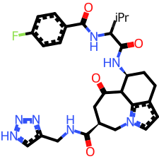 CC(C)C(NC(=O)c1ccc(F)cc1)C(=O)N[C@H]1CCc2ccn3c2C1C(=O)C[C@H](C(=O)NCc1c[nH]nn1)C3